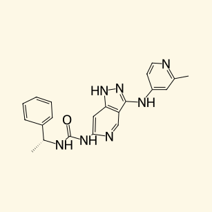 Cc1cc(Nc2n[nH]c3cc(NC(=O)N[C@H](C)c4ccccc4)ncc23)ccn1